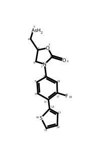 O=C1OC(C[AsH2])CN1c1ccc(-c2cccs2)c(F)c1